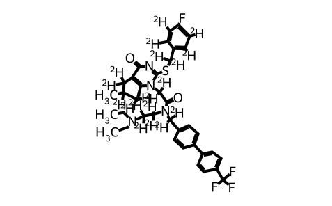 [2H]c1c([2H])c(C([2H])([2H])Sc2nc(=O)c3c(n2C([2H])([2H])C(=O)N(C([2H])([2H])c2ccc(-c4ccc(C(F)(F)F)cc4)cc2)C([2H])([2H])C([2H])([2H])N(CC)CC)C([2H])([2H])C([2H])(C)C3([2H])[2H])c([2H])c([2H])c1F